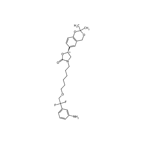 CC1(C)OCc2cc([C@H]3CN(CCCCCCOCC(F)(F)c4cccc(N)c4)C(=O)O3)ccc2O1